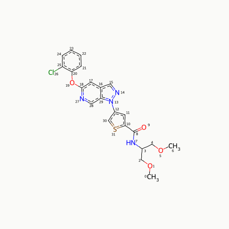 COCC(COC)NC(=O)c1cc(-n2ncc3cc(Oc4ccccc4Cl)ncc32)cs1